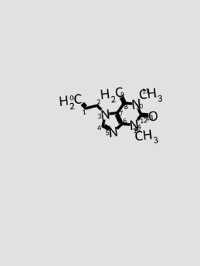 C=CCn1cnc2c1C(=C)N(C)C(=O)N2C